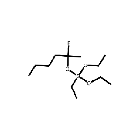 CCCCC(C)(F)O[Si](CC)(OCC)OCC